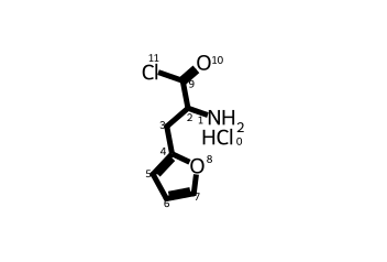 Cl.NC(Cc1ccco1)C(=O)Cl